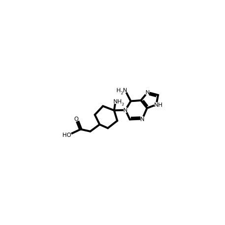 NC1c2nc[nH]c2N=CN1C1(N)CCC(CC(=O)O)CC1